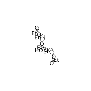 CCC1(COC2CC3CCC(OCC(CC)(CO)COC4CC5CCC(OCC6(CC)COC6)C(CC)(C5)C4)C(CC)(C3)C2)COC1